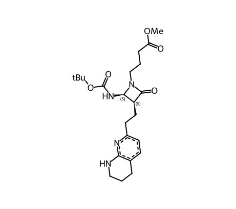 COC(=O)CCCN1C(=O)[C@@H](CCc2ccc3c(n2)NCCC3)[C@H]1NC(=O)OC(C)(C)C